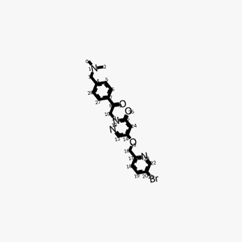 CN(C)Cc1ccc(C(=O)Cn2ncc(OCc3ccc(Br)cn3)cc2=O)cc1